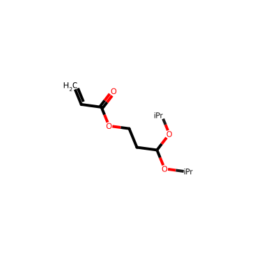 C=CC(=O)OCCC(OC(C)C)OC(C)C